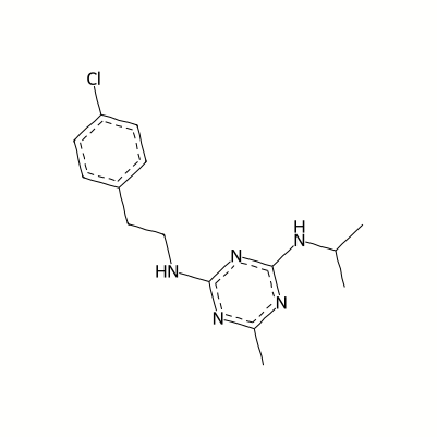 Cc1nc(NCCc2ccc(Cl)cc2)nc(NC(C)C)n1